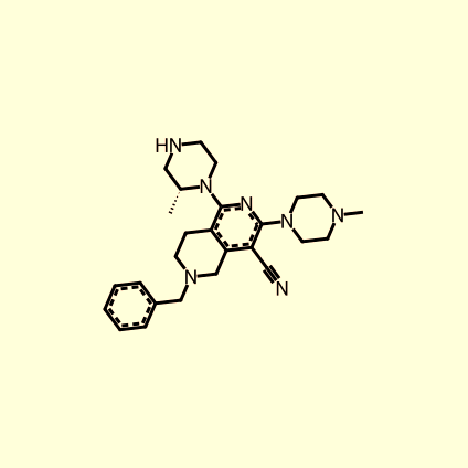 C[C@@H]1CNCCN1c1nc(N2CCN(C)CC2)c(C#N)c2c1CCN(Cc1ccccc1)C2